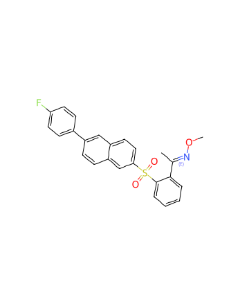 CO/N=C(\C)c1ccccc1S(=O)(=O)c1ccc2cc(-c3ccc(F)cc3)ccc2c1